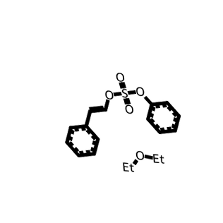 CCOCC.O=S(=O)(O/C=C/c1ccccc1)Oc1ccccc1